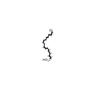 CC/C=C\C/C=C/C/C=C\C/C=C\C/C=C/CCCC(=O)O